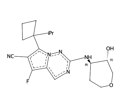 CC(C)C1(c2c(C#N)c(F)c3cnc(N[C@@H]4CCOC[C@H]4O)nn23)CCC1